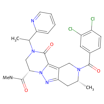 CNC(=O)[C@@H]1CN(C(C)c2ccccn2)C(=O)c2c3c(nn21)C[C@@H](C)N(C(=O)c1ccc(Cl)c(Cl)c1)C3